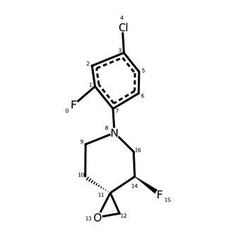 Fc1cc(Cl)ccc1N1CC[C@@]2(CO2)[C@H](F)C1